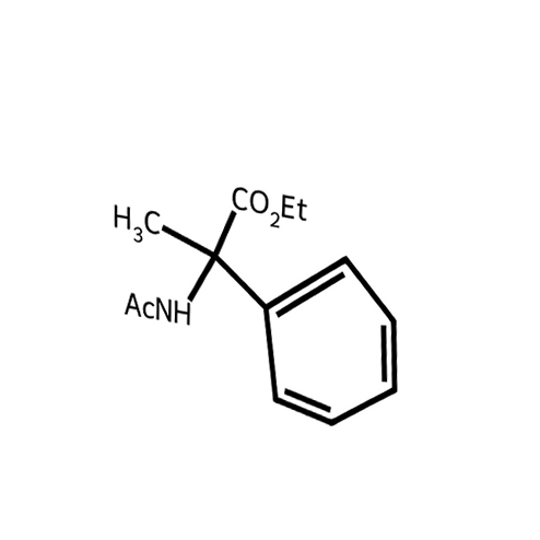 CCOC(=O)C(C)(NC(C)=O)c1ccccc1